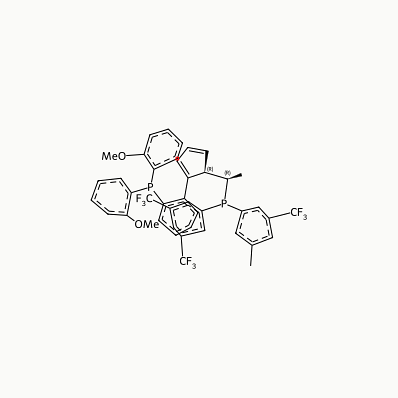 COc1ccccc1P(c1ccccc1OC)c1ccccc1C1=CC=C[C@H]1[C@@H](C)P(c1cc(C)cc(C(F)(F)F)c1)c1cc(C(F)(F)F)cc(C(F)(F)F)c1